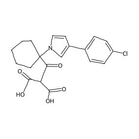 O=C(O)C(C(=O)O)C(=O)C1(n2ccc(-c3ccc(Cl)cc3)c2)CCCCC1